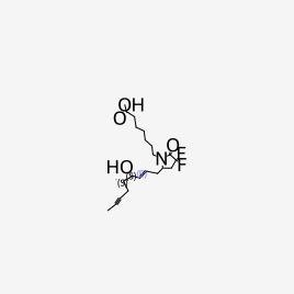 CC#CC[C@H](C)[C@H](O)/C=C/CC1CC(F)(F)C(=O)N1CCCCCCC(=O)O